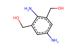 Nc1cc(CO)c(N)c(CO)c1